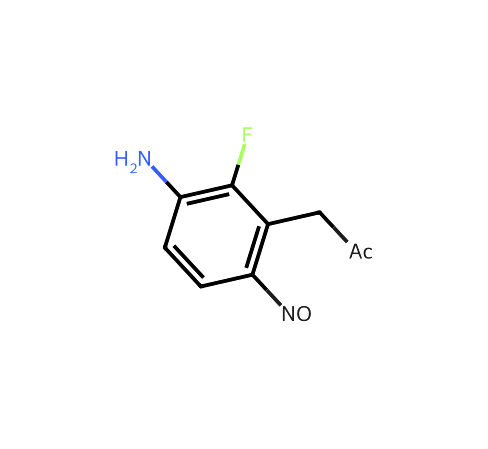 CC(=O)Cc1c(N=O)ccc(N)c1F